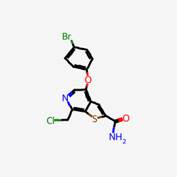 NC(=O)c1cc2c(Oc3ccc(Br)cc3)cnc(CCl)c2s1